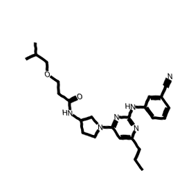 CCCc1cc(N2CCC(NC(=O)CCOCC(C)C)C2)nc(Nc2cccc(C#N)c2)n1